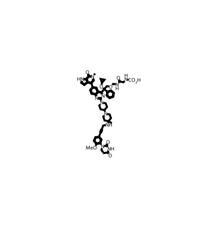 COc1ccc(C#CCNC2(C)CCN(C3CCN(c4nc(C(COCNC(=O)CNC(=O)O)(OC5CC5)c5ccccc5)c5cc(-c6cn(C)c(=O)c7[nH]ccc67)ccc5n4)CC3)CC2)cc1N1CCC(=O)NC1=O